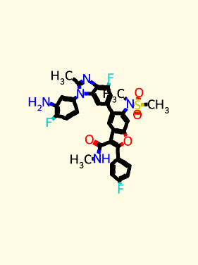 CNC(=O)c1c(-c2ccc(F)cc2)oc2cc(N(C)S(C)(=O)=O)c(-c3cc(F)c4nc(C)n(-c5ccc(F)c(N)c5)c4c3)cc12